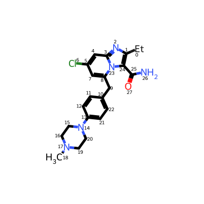 CCc1nc2cc(Cl)cc(Cc3ccc(N4CCN(C)CC4)cc3)n2c1C(N)=O